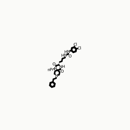 CCCN1C(=O)[C@H](CCCCNC(=O)Nc2ccc(Cl)c(Cl)c2)NC(=O)C12CCN(CCc1ccccc1)CC2